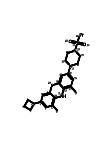 Cc1cc(N2CCC2)cc2c1Nc1c(C)cc(N3CCN(S(=O)(=O)C(C)C)CC3)cc1S2